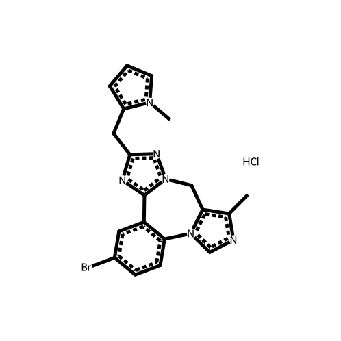 Cc1ncn2c1Cn1nc(Cc3cccn3C)nc1-c1cc(Br)ccc1-2.Cl